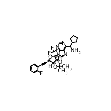 CC1(C)O[C@H]2[C@@H](O1)[C@@](n1cnc3c(C(N)C4CCCC4)ncnc31)(C(F)(F)F)O[C@@H]2C#Cc1ccccc1F